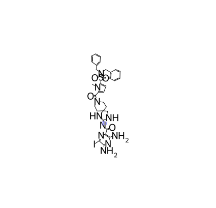 Cn1c(C(=O)N2CCC3(CC2)CN/C(=N\C(=O)c2nc(I)c(N)nc2N)N3)ccc1S(=O)(=O)N(Cc1ccccc1)Cc1ccccc1